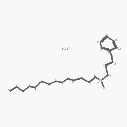 CCCCCCCCCCCCCCN(C)CCCc1ccccc1.Cl